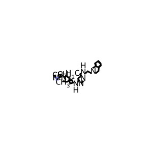 C=C(NCCCN1CCc2ccccc2C1)c1cc(NC2CC3(CCN(C(=C)/C(C)=N\C)CC3)C2)ncn1